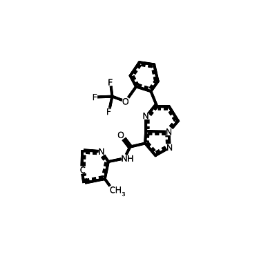 Cc1cccnc1NC(=O)c1cnn2ccc(-c3ccccc3OC(F)(F)F)nc12